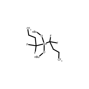 CCCC[O][Sn]([O]CCCC)([C](F)(F)CCC(F)(F)F)[C](F)(F)CCC(F)(F)F